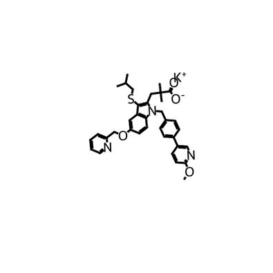 COc1ccc(-c2ccc(Cn3c(CC(C)(C)C(=O)[O-])c(SCC(C)C)c4cc(OCc5ccccn5)ccc43)cc2)cn1.[K+]